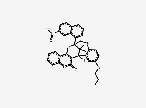 CCCOc1ccc2c(c1)[C@@H]1c3c(c4ccccc4oc3=O)OC(c3cccc4ccc([N+](=O)[O-])cc34)(CN2)C1(C)C